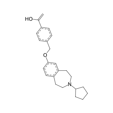 C=C(O)c1ccc(COc2ccc3c(c2)CCN(C2CCCC2)CC3)cc1